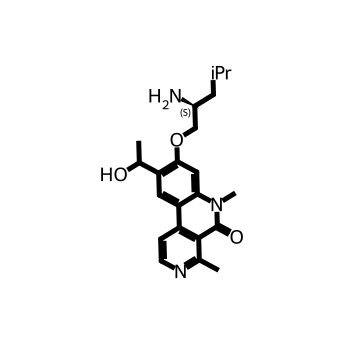 Cc1nccc2c1c(=O)n(C)c1cc(OC[C@@H](N)CC(C)C)c(C(C)O)cc21